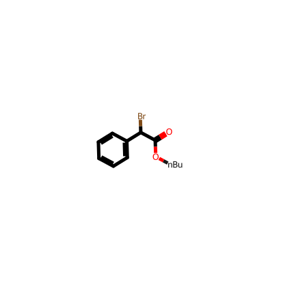 CCCCOC(=O)C(Br)c1ccccc1